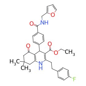 CCOC(=O)C1=C(CCc2ccc(F)cc2)NC2=C(C(=O)CC(C)(C)C2)C1c1ccc(C(=O)NCc2ccco2)cc1